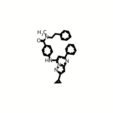 CN(CCc1ccccc1)C(=O)c1ccc(Nc2cc(-c3ccccc3)nc3cc(C4CC4)nn23)cc1